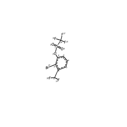 O=S(=O)(Oc1cccc(C(F)F)c1Br)C(F)(F)F